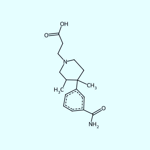 CC1CN(CCC(=O)O)CCC1(C)c1cccc(C(N)=O)c1